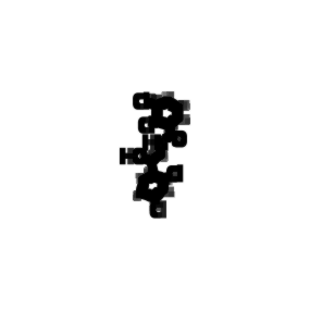 O=C(NCC(O)c1ccc(Cl)cc1Cl)c1cccc(Cl)c1Cl